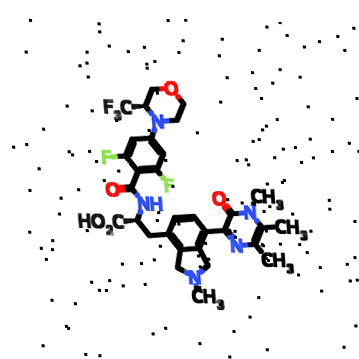 Cc1nc(-c2ccc(C[C@H](NC(=O)c3c(F)cc(N4CCOC[C@@H]4C(F)(F)F)cc3F)C(=O)O)c3c2CN(C)C3)c(=O)n(C)c1C